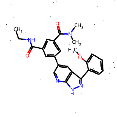 CCNC(=O)c1cc(C(=O)N(C)C)cc(-c2cnc3[nH]nc(-c4ccccc4OC)c3c2)c1